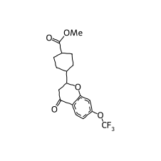 COC(=O)C1CCC(C2CC(=O)c3ccc(OC(F)(F)F)cc3O2)CC1